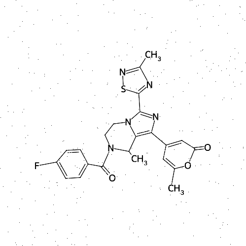 Cc1nsc(-c2nc(-c3cc(C)oc(=O)c3)c3n2CCN(C(=O)c2ccc(F)cc2)C3C)n1